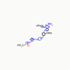 CCCCCNc1nc(N)nc2ccn(Cc3ccc(CN4CCN(CCn5cc(CNC(=O)CCC(=O)O)nn5)CC4)cc3OC)c12